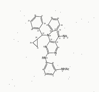 CC(=O)Nc1cccc(Nc2ncc(C(N)=O)c(N(c3ccccc3)C(c3ccccc3)C3CC3)n2)c1